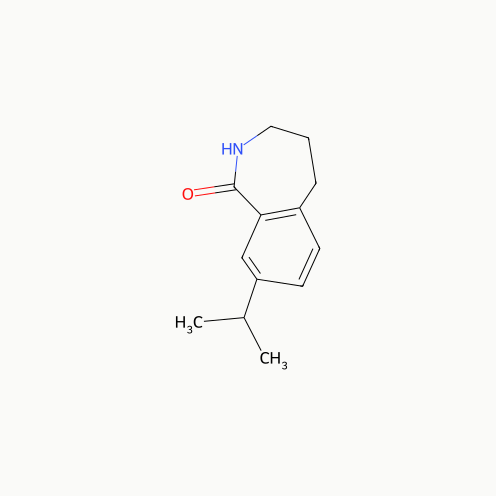 CC(C)c1ccc2c(c1)C(=O)NCCC2